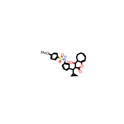 COc1ccc(S(=O)(=O)Nc2cccc(C(C3CC3)C3C(=O)OC4=CC=CCCCC4C3O)c2)cc1